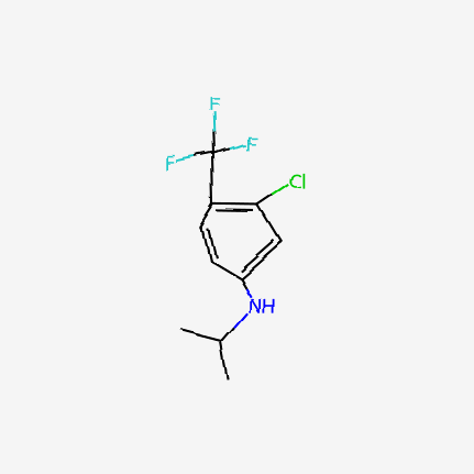 CC(C)Nc1ccc(C(F)(F)F)c(Cl)c1